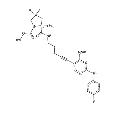 CNc1nc(Nc2ccc(F)cc2)ncc1C#CCCCNC(=O)[C@]1(C)CC(F)(F)CN1C(=O)OC(C)(C)C